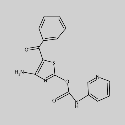 Nc1nc(OC(=O)Nc2cccnc2)sc1C(=O)c1ccccc1